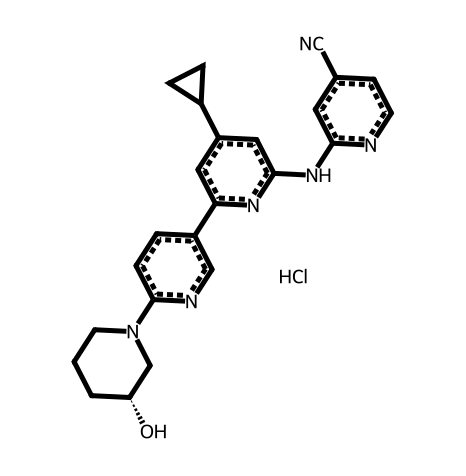 Cl.N#Cc1ccnc(Nc2cc(C3CC3)cc(-c3ccc(N4CCC[C@@H](O)C4)nc3)n2)c1